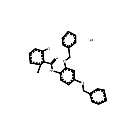 Cc1cccc(Cl)c1C(=O)Pc1ccc(OCc2ccccc2)cc1OCc1ccccc1.[LiH]